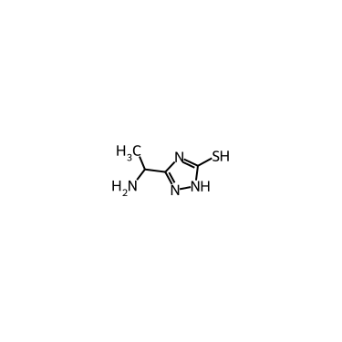 CC(N)c1n[nH]c(S)n1